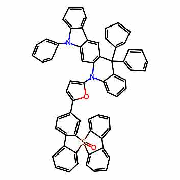 O=S12(c3ccccc3-c3ccccc31)c1ccccc1-c1ccc(-c3ccc(N4c5ccccc5C(c5ccccc5)(c5ccccc5)c5cc6c7ccccc7n(-c7ccccc7)c6cc54)o3)cc12